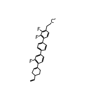 C=CC1CC=C(c2ccc(-c3ccc(-c4ccc(CCCC)c(F)c4F)cc3)cc2F)CC1